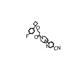 C[C@H]1CC2CN(C(=O)CCOC3(c4ccc(F)cc4)CCC3)CC1N2c1ccc(C#N)cn1